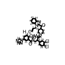 CC=CCn1c(C(=O)C2CCN(CCC(CN(C)C(=O)c3cc(-n4cnnn4)ccc3OC)c3ccc(Cl)c(Cl)c3)CC2)nc2ccccc21